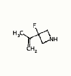 C=C(C)C1(F)CNC1